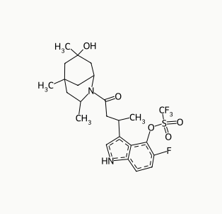 CC(CC(=O)N1C(C)CC2(C)CC1CC(C)(O)C2)c1c[nH]c2ccc(F)c(OS(=O)(=O)C(F)(F)F)c12